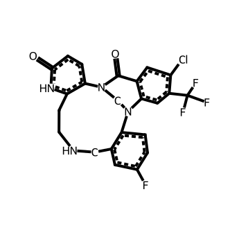 O=C1c2cc(Cl)c(C(F)(F)F)cc2N2CN1c1ccc(=O)[nH]c1CCNCc1cc(F)ccc12